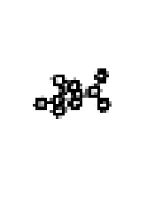 C1=CC2c3ccc4c(c3N(c3cc(-c5ccccc5)c5ccccc5c3)C2C=C1)c1ccccc1n4-c1cc(-c2ccccc2)cc(-c2ccccc2)c1